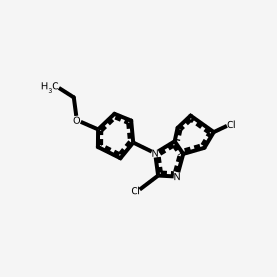 CCOc1ccc(-n2c(Cl)nc3cc(Cl)ccc32)cc1